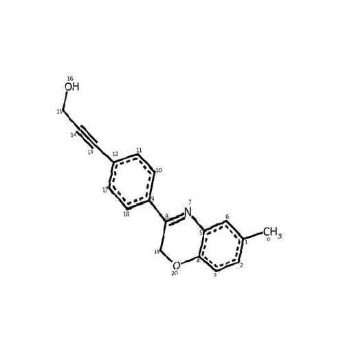 Cc1ccc2c(c1)N=C(c1ccc(C#CCO)cc1)CO2